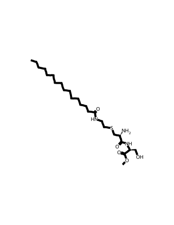 CCCCCCCCCCCCCCCC(=O)NCCSC[C@H](N)C(=O)N[C@@H](CO)C(=O)OC